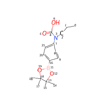 CCCN(C(=O)O)c1ccc(B2OC(C)(C)C(C)(C)O2)cc1